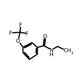 CCNC(=O)c1cccc(OC(F)(F)F)c1